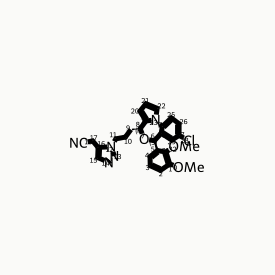 COc1cccc([C@H]2O[C@H](CCCn3nncc3CC#N)c3cccn3-c3ccc(Cl)cc32)c1OC